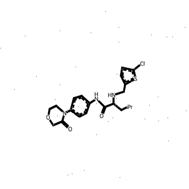 CC(C)CC(NCc1ccc(Cl)s1)C(=O)Nc1ccc(N2CCOCC2=O)cc1